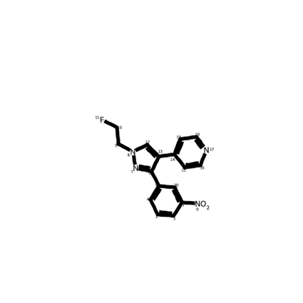 O=[N+]([O-])c1cccc(-c2nn(CCF)cc2-c2ccncc2)c1